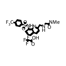 CNC(=O)CNCc1ccc2cccc(NS(=O)(=O)c3ccc(C(F)(F)F)cc3)c2n1.O=C(O)C(F)(F)F